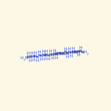 NNNNNNNNNNNNNNNNNNNNNNNNNNNNNNN